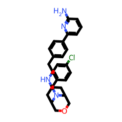 Nc1cccc(-c2ccc(CCNC3CC4COCC(C3)N4Cc3ccc(Cl)cc3)cc2)n1